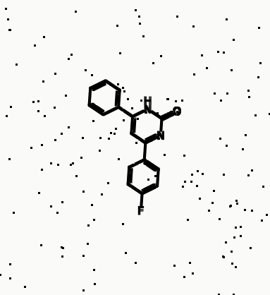 O=c1nc(-c2ccc(F)cc2)cc(-c2ccccc2)[nH]1